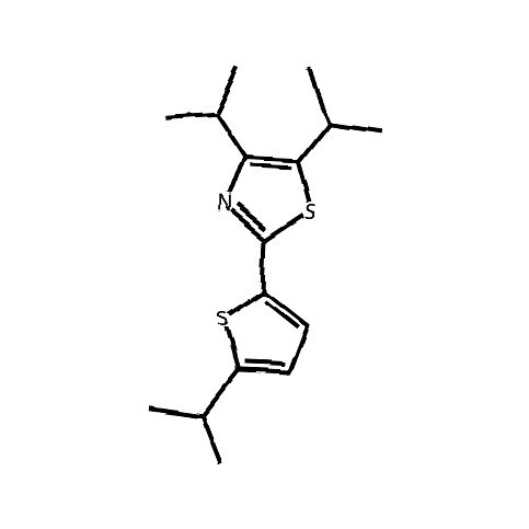 CC(C)c1ccc(-c2nc(C(C)C)c(C(C)C)s2)s1